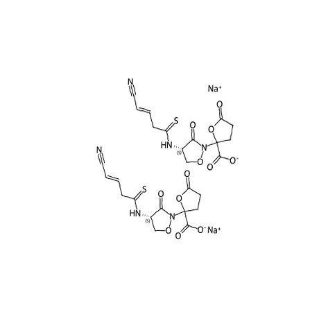 N#CC=CCC(=S)N[C@H]1CON(C2(C(=O)[O-])CCC(=O)O2)C1=O.N#CC=CCC(=S)N[C@H]1CON(C2(C(=O)[O-])CCC(=O)O2)C1=O.[Na+].[Na+]